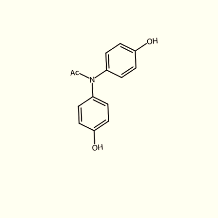 CC(=O)N(c1ccc(O)cc1)c1ccc(O)cc1